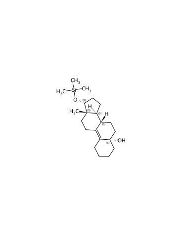 C[C@]12CCC3=C4CCCC[C@]4(O)CC[C@H]3[C@@H]1CC[C@H]2O[Si](C)(C)C